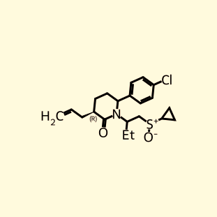 C=CC[C@H]1CCC(c2ccc(Cl)cc2)N(C(CC)C[S+]([O-])C2CC2)C1=O